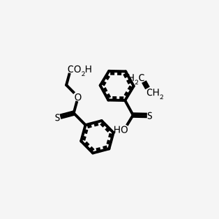 C=C.O=C(O)COC(=S)c1ccccc1.OC(=S)c1ccccc1